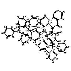 c1ccc(-c2ccccc2-c2ccccc2N(c2ccc3c(c2)C2(c4ccccc4-c4ccccc42)c2ccccc2-3)c2cccc3c2-c2ccccc2C32c3ccccc3N(c3ccccc3)c3ccccc32)cc1